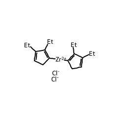 CCC1=CC[C]([Zr+2][C]2=C(CC)C(CC)=CC2)=C1CC.[Cl-].[Cl-]